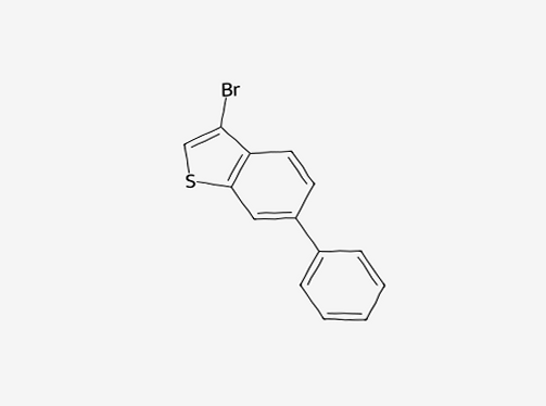 Brc1csc2cc(-c3ccccc3)ccc12